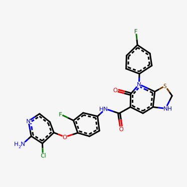 Nc1nccc(Oc2ccc(NC(=O)c3cc4c(n(-c5ccc(F)cc5)c3=O)SCN4)cc2F)c1Cl